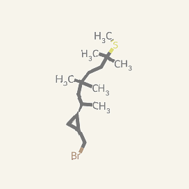 CSC(C)(C)CCC(C)(C)CC(C)[C@@H]1CC1CBr